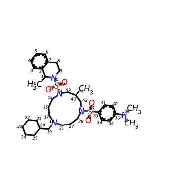 CC1c2ccccc2CCN1S(=O)(=O)N1CCCN(CC2CCCCC2)CCCN(S(=O)(=O)c2ccc(N(C)C)cc2)C[C@H](C)C1